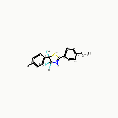 Cc1ccc(C2(F)SC(c3ccc(C(=O)O)cc3)=NC2(F)F)cc1